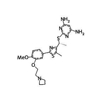 COc1ccc(-c2nc([C@@H](C)Sc3nc(N)cc(N)n3)c(C)s2)cc1OCCN1CCC1